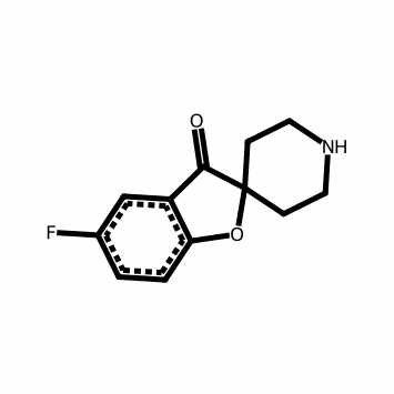 O=C1c2cc(F)ccc2OC12CCNCC2